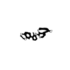 Cc1c(Nc2nccc3c(Cl)ccnc23)cccc1-c1ccc2c(c1)OCCO2